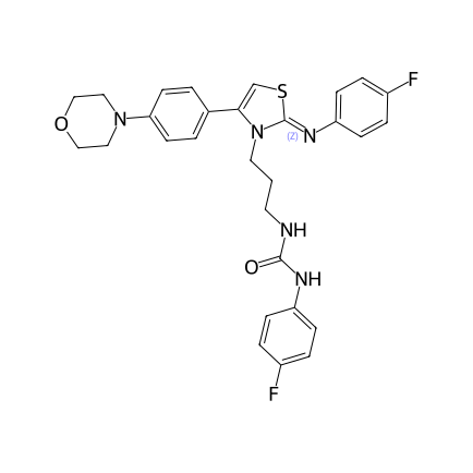 O=C(NCCCn1c(-c2ccc(N3CCOCC3)cc2)cs/c1=N\c1ccc(F)cc1)Nc1ccc(F)cc1